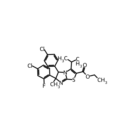 CCOC(=O)C1=C(C(C)C)N2C(=NC(C)(c3ccc(Cl)cc3F)C2c2ccc(Cl)cc2)S1